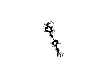 CCCC#Cc1ccc(C#Cc2ccc(OCCC)cc2)cc1